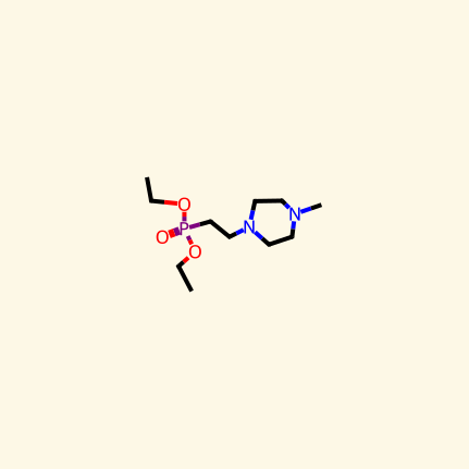 CCOP(=O)(CCN1CCN(C)CC1)OCC